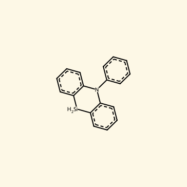 c1ccc(N2c3ccccc3[SiH2]c3ccccc32)cc1